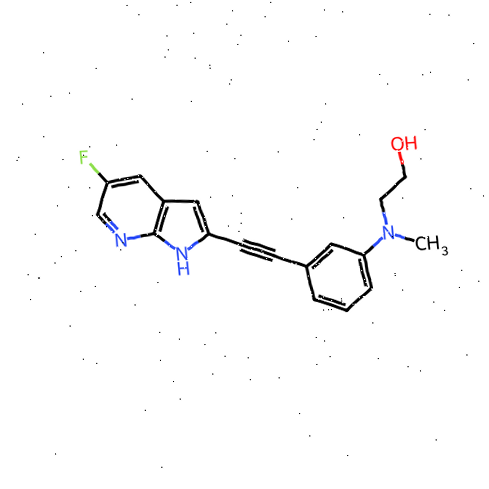 CN(CCO)c1cccc(C#Cc2cc3cc(F)cnc3[nH]2)c1